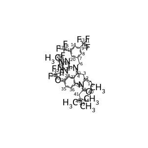 CC[C@@H]1C[C@H](N(Cc2cc(C(F)(F)F)cc(C(F)(F)F)c2)c2nnn(C)n2)c2cc(OC(F)(F)F)ccc2N1C(=O)CC(C)(C)C